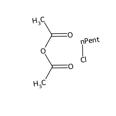 CC(=O)OC(C)=O.CCCCCCl